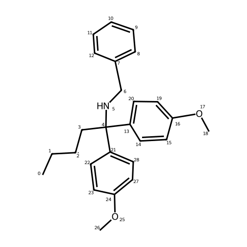 CC[CH]CC(NCc1ccccc1)(c1ccc(OC)cc1)c1ccc(OC)cc1